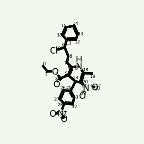 CCOC(=O)C1=C(CCC(Cl)c2ccccc2)NC(C)=C([N+](=O)[O-])C1c1ccc([N+](=O)[O-])cc1